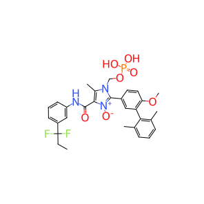 CCC(F)(F)c1cccc(NC(=O)c2c(C)n(COP(=O)(O)O)c(-c3ccc(OC)c(-c4c(C)cccc4C)c3)[n+]2[O-])c1